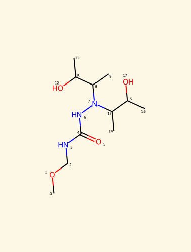 COCNC(=O)NN(C(C)C(C)O)C(C)C(C)O